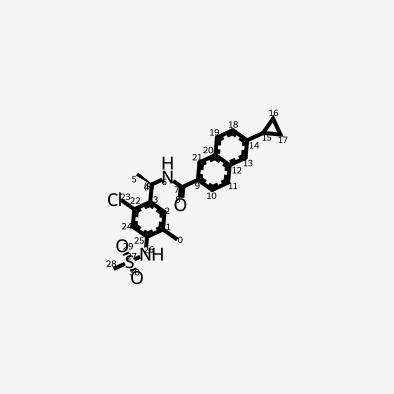 Cc1cc([C@@H](C)NC(=O)c2ccc3cc(C4CC4)ccc3c2)c(Cl)cc1NS(C)(=O)=O